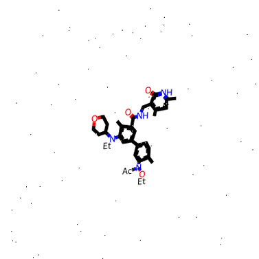 CCON(C(C)=O)c1cc(-c2cc(C(=O)NCc3c(C)cc(C)[nH]c3=O)c(C)c(N(CC)C3CCOCC3)c2)ccc1C